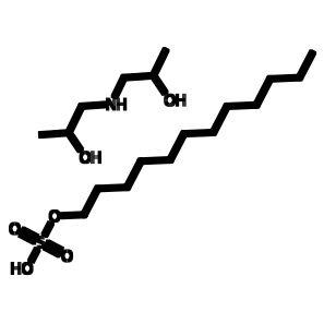 CC(O)CNCC(C)O.CCCCCCCCCCCCOS(=O)(=O)O